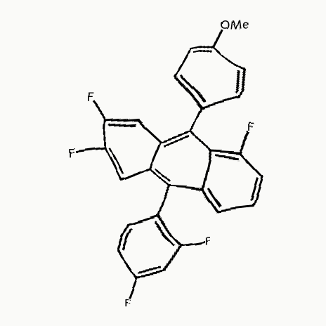 COc1ccc(-c2c3cc(F)c(F)cc3c(-c3ccc(F)cc3F)c3cccc(F)c23)cc1